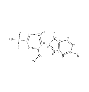 COc1cc(C(F)(F)F)cc(C)c1-c1nc2nc(Cl)cnc2n1C